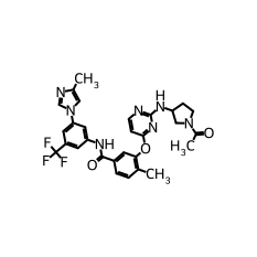 CC(=O)N1CCC(Nc2nccc(Oc3cc(C(=O)Nc4cc(-n5cnc(C)c5)cc(C(F)(F)F)c4)ccc3C)n2)C1